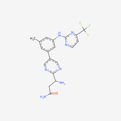 Cc1cc(Nc2nccc(C(F)(F)F)n2)cc(-c2cnc(C(N)CC(N)=O)nc2)c1